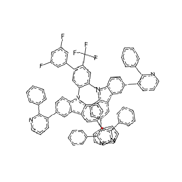 Fc1cc(F)cc(-c2cc(-n3c4ccc(-c5cccnc5-c5ccccc5)cc4c4cc(-c5cccnc5-c5ccccc5)ccc43)c(-n3c4ccc(-c5cccnc5-c5ccccc5)cc4c4cc(-c5cccnc5-c5ccccc5)ccc43)cc2C(F)(F)F)c1